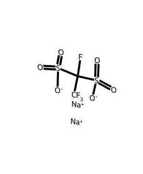 O=S(=O)([O-])C(F)(C(F)(F)F)S(=O)(=O)[O-].[Na+].[Na+]